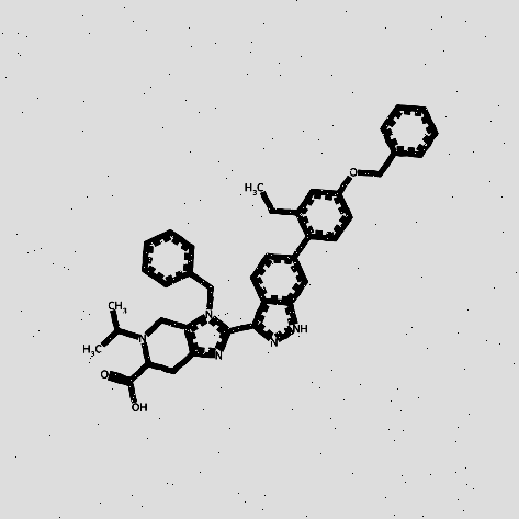 CCc1cc(OCc2ccccc2)ccc1-c1ccc2c(-c3nc4c(n3Cc3ccccc3)CN(C(C)C)C(C(=O)O)C4)n[nH]c2c1